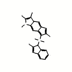 CC1=CC2=CC3C(=CC2=C1[Si](C)(C)C1C(C)=Cc2ccccc21)N(C)C(C)=C3C